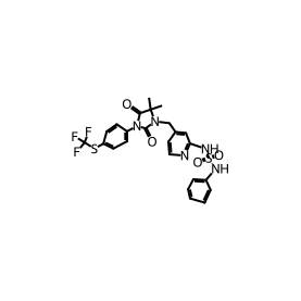 CC1(C)C(=O)N(c2ccc(SC(F)(F)F)cc2)C(=O)N1Cc1ccnc(NS(=O)(=O)Nc2ccccc2)c1